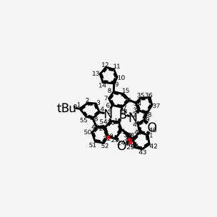 CC(C)(C)c1ccc(N2c3cc(-c4ccccc4)cc4c3B(c3c2ccc2oc5ccccc5c32)n2c3c-4cccc3c3oc4ccccc4c32)c(-c2ccccc2)c1